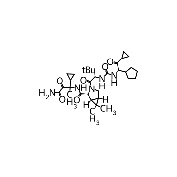 CC(NC(=O)[C@@H]1[C@@H]2[C@H](CN1C(=O)[C@@H](NC(=O)N[C@H](C(=O)C1CC1)C1CCCC1)C(C)(C)C)C2(C)C)(C(=O)C(N)=O)C1CC1